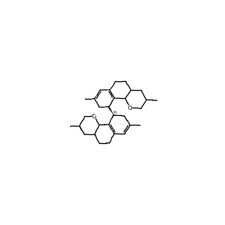 CC1=CC2=C(C3OCC(C)CC3CC2)C([C@H]2CC(C)=CC3=C2C2OCC(C)CC2CC3)C1